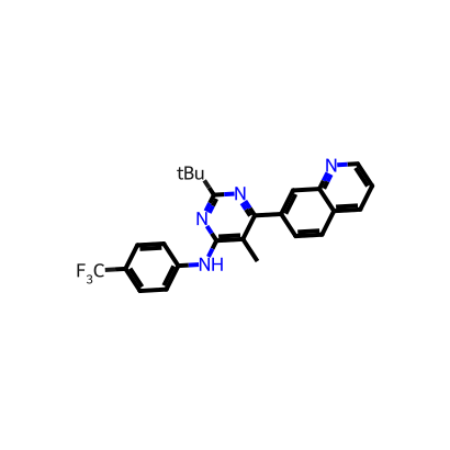 Cc1c(Nc2ccc(C(F)(F)F)cc2)nc(C(C)(C)C)nc1-c1ccc2cccnc2c1